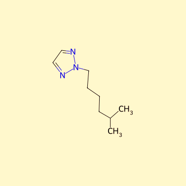 CC(C)CCCCn1nccn1